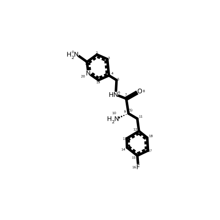 Nc1ccc(CNC(=O)[C@@H](N)Cc2ccc(F)cc2)cn1